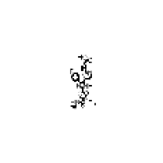 CC1(C(=O)NC2CC2)COC(c2nc(-c3ccc(F)cc3)c(-c3ccnc(NCCC(=O)O)n3)[nH]2)OC1